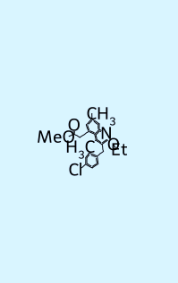 CCOc1nc2cc(C)cc(CC(=O)OC)c2c(C)c1Cc1ccc(Cl)cc1